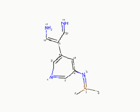 CS(C)=Nc1cncc(/C(C=N)=C/N)c1